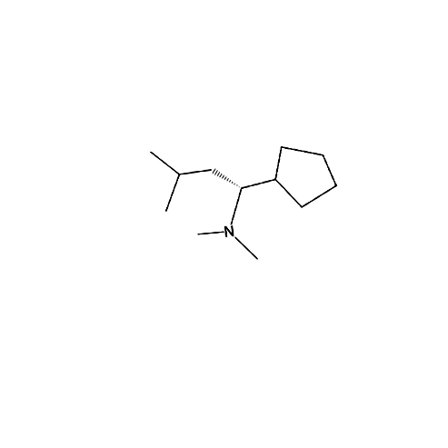 CC(C)C[C@H](C1CCCC1)N(C)C